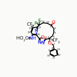 O=C1CCC[C@](OCc2ccccc2)(C(F)(F)F)c2nnc(o2)-c2nc(c(C(F)(F)F)cc2NC(=O)O)C(F)(F)CC1